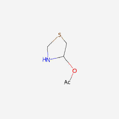 CC(=O)OC1CSCN1